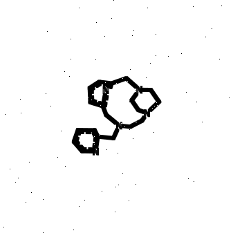 c1ccc(CN2CCN3CCN(CC3)Cc3cccc(n3)C2)nc1